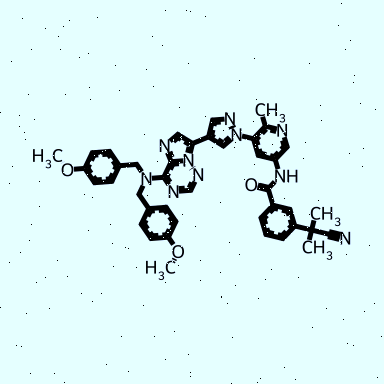 COc1ccc(CN(Cc2ccc(OC)cc2)c2ncnn3c(-c4cnn(-c5cc(NC(=O)c6cccc(C(C)(C)C#N)c6)cnc5C)c4)cnc23)cc1